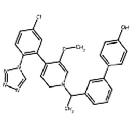 COC1=CN(C(C)c2cccc(-c3ccc(O)cc3)c2)CC=C1c1cc(Cl)ccc1-n1cnnn1